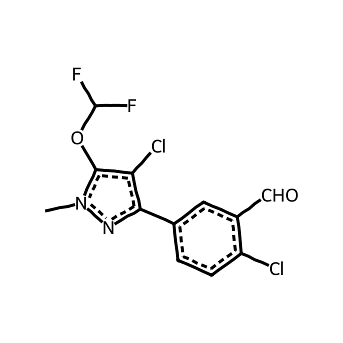 Cn1nc(-c2ccc(Cl)c(C=O)c2)c(Cl)c1OC(F)F